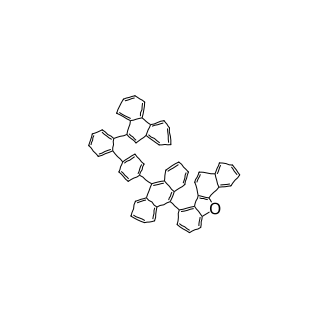 c1ccc(-c2cc3ccccc3c3ccccc23)c(-c2ccc(-c3c4ccccc4c(-c4cccc5oc6c7ccccc7ccc6c45)c4ccccc34)cc2)c1